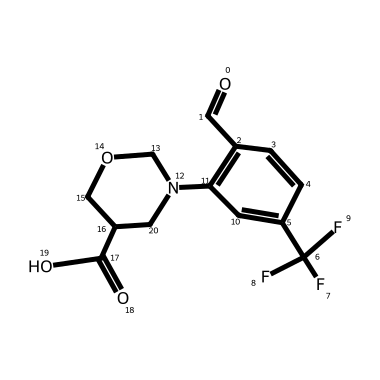 O=Cc1ccc(C(F)(F)F)cc1N1COCC(C(=O)O)C1